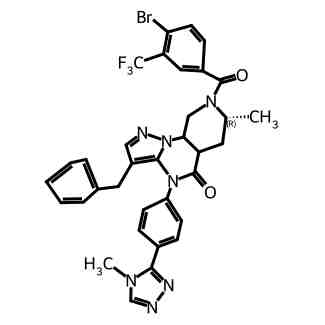 C[C@@H]1CC2C(=O)N(c3ccc(-c4nncn4C)cc3)c3c(Cc4ccccc4)cnn3C2CN1C(=O)c1ccc(Br)c(C(F)(F)F)c1